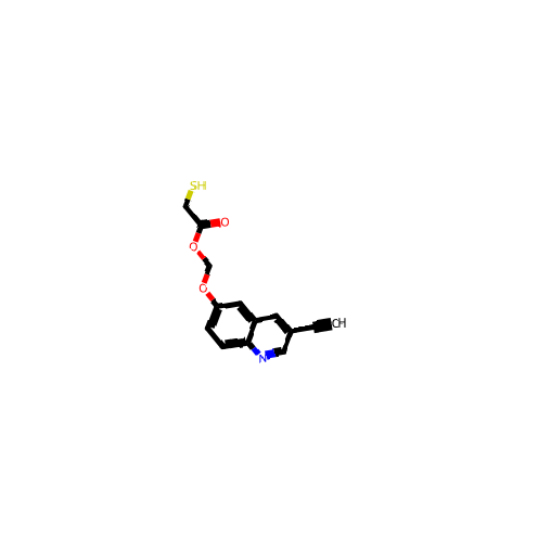 C#Cc1cnc2ccc(OCOC(=O)CS)cc2c1